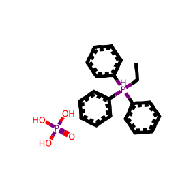 CC[PH](c1ccccc1)(c1ccccc1)c1ccccc1.O=P(O)(O)O